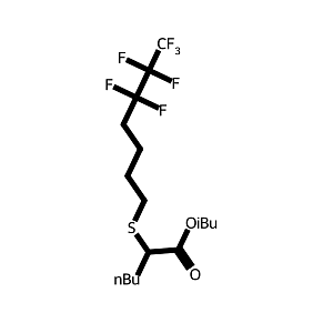 CCCCC(SCCCCC(F)(F)C(F)(F)C(F)(F)F)C(=O)OCC(C)C